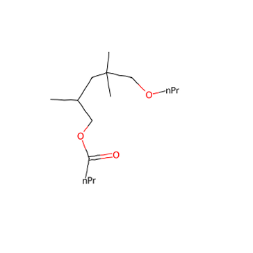 CCCOCC(C)(C)CC(C)COC(=O)CCC